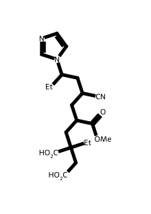 CCC(CC(C#N)CC(CC(CC)(CC(=O)O)C(=O)O)C(=O)OC)n1ccnc1